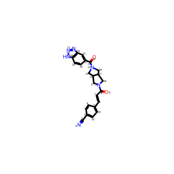 N#Cc1ccc(/C=C/C(=O)N2CC3CN(C(=O)c4ccc5[nH]nnc5c4)CC3C2)cc1